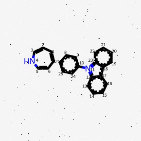 C1=CC=CNC=C1.c1ccc(-n2c3ccccc3c3ccccc32)cc1